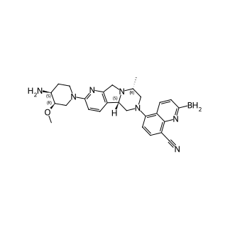 Bc1ccc2c(N3C[C@@H](C)N4Cc5nc(N6CC[C@H](N)[C@H](OC)C6)ccc5[C@H]4C3)ccc(C#N)c2n1